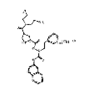 Cl.Cl.Cl.Cl.NCCN(CCN)C(=O)C1CN[C@H](C(=O)N[C@@H](CCc2ccccc2)C(=O)Nc2cnc3ccccc3c2)C1